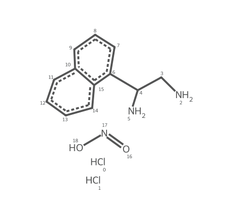 Cl.Cl.NCC(N)c1cccc2ccccc12.O=NO